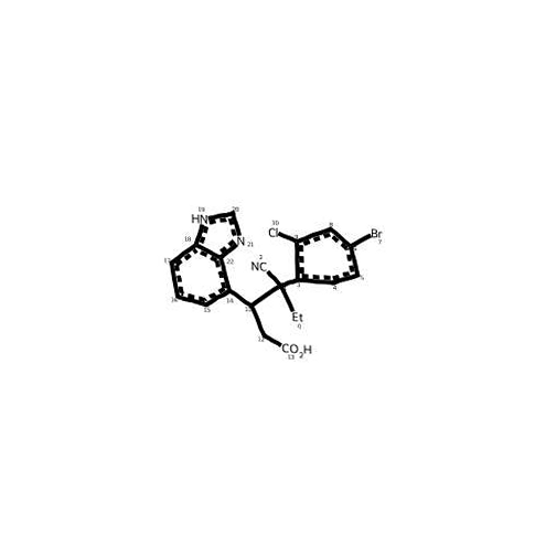 CCC(C#N)(c1ccc(Br)cc1Cl)C(CC(=O)O)c1cccc2[nH]cnc12